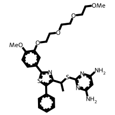 COCCOCCOCCOc1cc(-c2nc(C(C)Sc3nc(N)cc(N)n3)c(-c3ccccc3)s2)ccc1OC